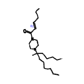 CCC/C=C/C(=O)N1CCN(C(C)(CCCCC)CCCCCC)CC1